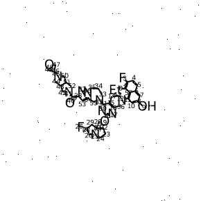 CCc1c(F)ccc2cc(O)cc(N3CCc4c(nc(OC[C@@]56CCCN5C[C@H](F)C6)nc4N4CCCn5nc(C(=O)N6CC7CN(C8COC8)CC7C6)cc5C4)C3)c12